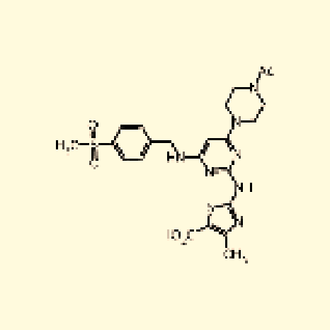 CC(=O)N1CCN(c2cc(NCc3ccc(S(C)(=O)=O)cc3)nc(Nc3nc(C)c(C(=O)O)s3)n2)CC1